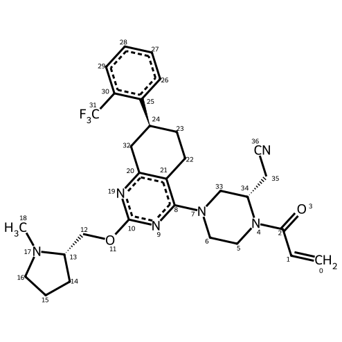 C=CC(=O)N1CCN(c2nc(OC[C@@H]3CCCN3C)nc3c2CC[C@H](c2ccccc2C(F)(F)F)C3)C[C@@H]1CC#N